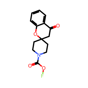 O=C1CC2(CCN(C(=O)OF)CC2)Oc2ccccc21